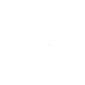 C#Cc1cn([C@H]2CC[C@@H](CO)O2)c(=O)n(F)c1=O